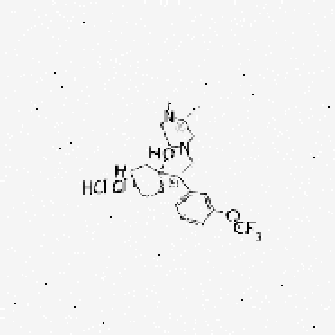 C[C@@H]1CN(C[C@H](c2cccc(OC(F)(F)F)c2)C2(O)CCCCC2)CCN1C.Cl.Cl